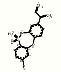 C=CC(=C)c1ccc2c(c1)NS(=C)(=O)c1ccc(F)cc1O2